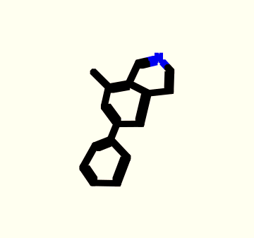 Cc1cc(-c2ccccc2)cc2ccncc12